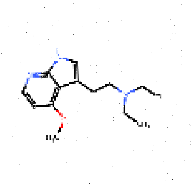 CCN(CC)CCc1c[nH]c2nccc(OC)c12